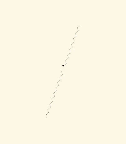 CCCCCCCCCCCCCCCCCCOC(=O)CCCCCCCCCCCCCCC